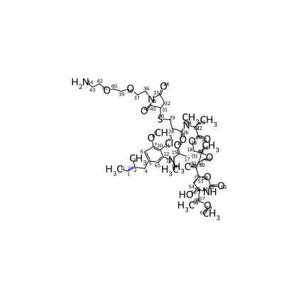 C/C=C(\C)Cc1cc(OC)c(Cl)c(N(C)C(=O)C[C@H](OC(=O)[C@H](C)N(C)C(=O)CCSC2CC(=O)N(CCOCCOCCN)C2=O)[C@]2(C)O[C@H]2[C@H](C)[C@@H]2C[C@](O)([C@@H](C)OC)NC(=O)O2)c1